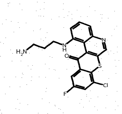 NCCCNc1cccc2ncc3sc4c(Cl)cc(F)cc4c(=O)c3c12